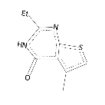 CCc1nc2scc(C)c2c(=O)[nH]1